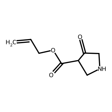 C=CCOC(=O)C1CNCC1=O